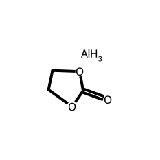 O=C1OCCO1.[AlH3]